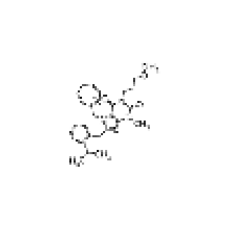 C=C1c2c(nc(Cc3ccccc3C(C)C)n2CC2=CC=CCC=C2)N(C)C(=O)N1CCCON